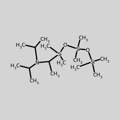 CC(C)N(C(C)C)C(C)[Si](C)(C)O[Si](C)(C)O[Si](C)(C)C